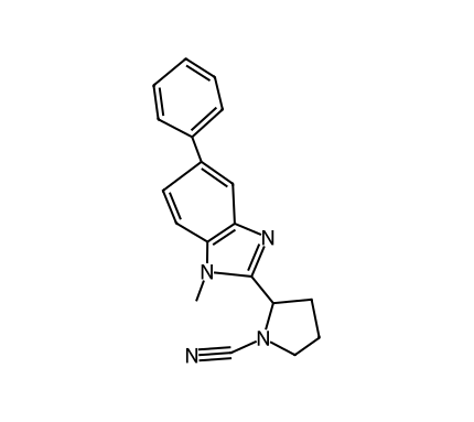 Cn1c(C2CCCN2C#N)nc2cc(-c3ccccc3)ccc21